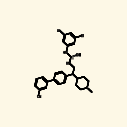 CN1CCC(C(CN[C@@H](O)Nc2cc(Cl)cc(Cl)c2)c2ccc(-c3cccc(C#N)c3)cc2)CC1